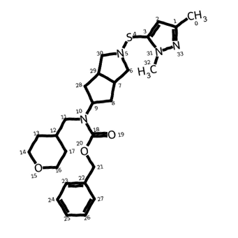 Cc1cc(SN2CC3CC(N(CC4CCOCC4)C(=O)OCc4ccccc4)CC3C2)n(C)n1